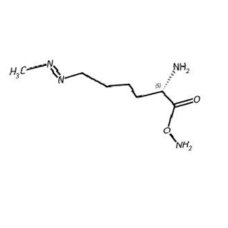 CN=NCCCC[C@H](N)C(=O)ON